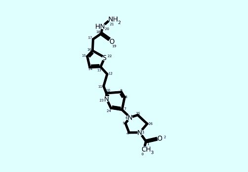 CC(=O)N1CCN(c2ccc(CCc3ccc(CC(=O)NN)s3)nc2)CC1